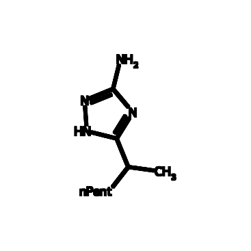 CCCCCC(C)c1nc(N)n[nH]1